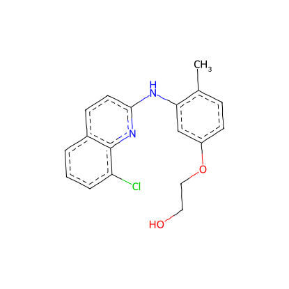 Cc1ccc(OCCO)cc1Nc1ccc2cccc(Cl)c2n1